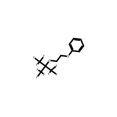 FC(F)(F)C(OCCOc1ccccc1)(C(F)(F)F)C(F)(F)F